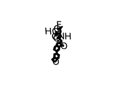 O=C(CF)CC(NC(=O)CN1Cc2ccc(-c3ccc4occc4c3)cc2C1=O)C(=O)O